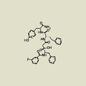 NC(=O)C(Cc1ccc(O)cc1)NC(=O)[C@H](CCc1ccccc1)NC(=O)CP(=O)(O)[C@@H](Cc1ccccc1)NC(=O)c1cccc(F)c1